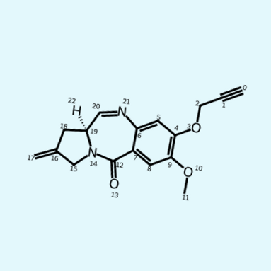 C#CCOc1cc2c(cc1OC)C(=O)N1CC(=C)C[C@H]1C=N2